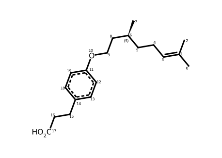 CC(C)=CCC[C@H](C)CCOc1ccc(CCC(=O)O)cc1